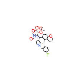 Cc1c(/C(=C(\C(OC(C)(C)C)C(=O)O)N(C)C=O)c2ccn(Cc3cccc(F)c3)c2C)ccc2c1CCCO2